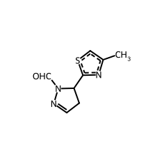 Cc1csc(C2CC=NN2C=O)n1